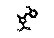 CN(C)C1=NC(=O)/C(=C/c2ccccc2O)S1